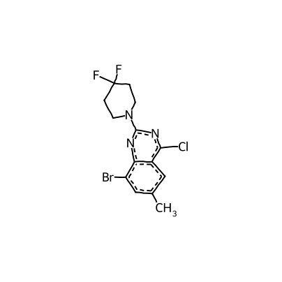 Cc1cc(Br)c2nc(N3CCC(F)(F)CC3)nc(Cl)c2c1